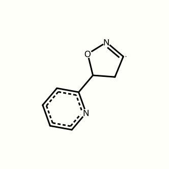 [C]1=NOC(c2ccccn2)C1